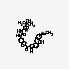 C=CSN1CCN(Cc2c(O)ccc3[nH]c(C(=O)c4cc5cc(NC(=O)Nc6cc(C(C)(C)C)on6)ccc5o4)cc23)CC1